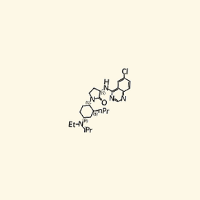 CCC[C@H]1C[C@H](N(CC)C(C)C)CC[C@@H]1N1CC[C@H](Nc2ncnc3ccc(Cl)cc23)C1=O